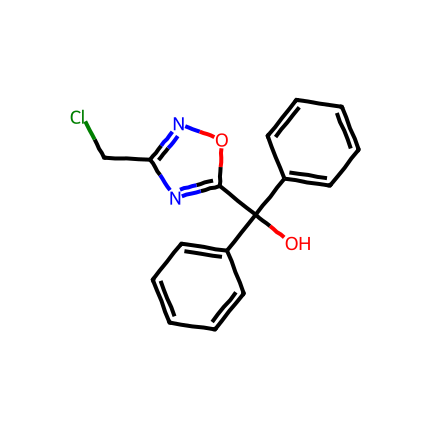 OC(c1ccccc1)(c1ccccc1)c1nc(CCl)no1